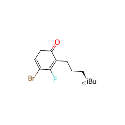 CC[C@H](C)CCCC1=C(F)C(Br)=CCC1=O